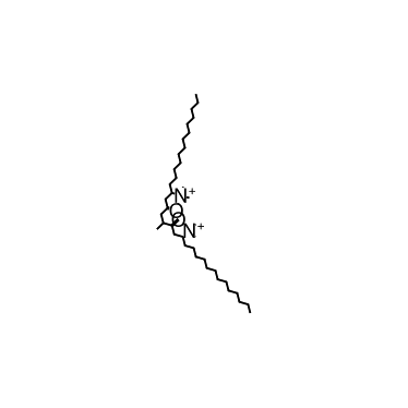 CCCCCCCCCCCCCC(CC(=O)CC(C)C(=O)CC(CCCCCCCCCCCCC)[N+](C)(C)C)[N+](C)(C)C